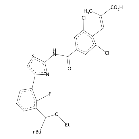 CCCCC(OCC)c1cccc(-c2csc(NC(=O)c3cc(Cl)c(/C=C(\C)C(=O)O)c(Cl)c3)n2)c1F